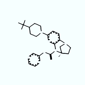 O=C(Nc1cnccn1)N1c2nc(N3CCC(C(F)(F)F)CC3)ccc2N2CC[C@H]1C2